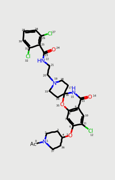 CC(=O)N1CCC(Oc2cc3c(cc2Cl)C(=O)NC2(CCN(CCNC(=O)c4c(Cl)cccc4Cl)CC2)O3)CC1